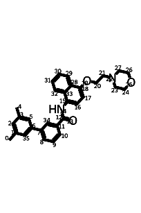 Cc1cc(C)cc(-c2cccc(C(=O)Nc3ccc(OCCN4CCOCC4)c4ccccc34)c2)c1